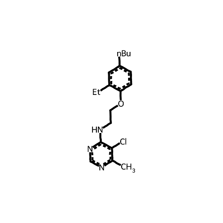 CCCCc1ccc(OCCNc2ncnc(C)c2Cl)c(CC)c1